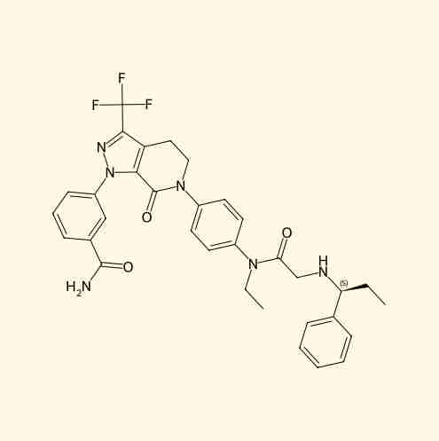 CC[C@H](NCC(=O)N(CC)c1ccc(N2CCc3c(C(F)(F)F)nn(-c4cccc(C(N)=O)c4)c3C2=O)cc1)c1ccccc1